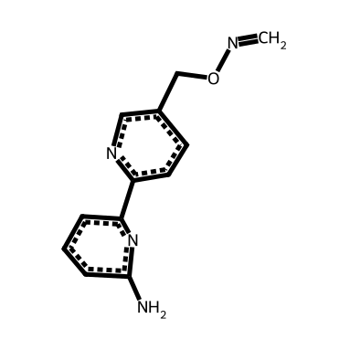 C=NOCc1ccc(-c2cccc(N)n2)nc1